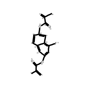 C=C(C)C(=O)Oc1cc(F)c2cc(OC(=O)C(=C)C)ccc2c1